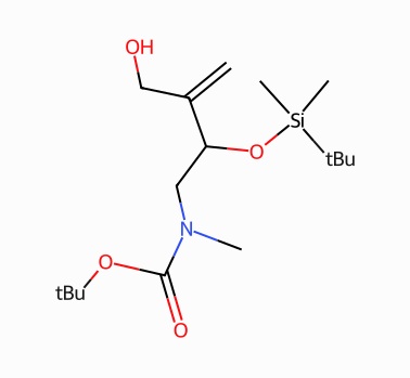 C=C(CO)C(CN(C)C(=O)OC(C)(C)C)O[Si](C)(C)C(C)(C)C